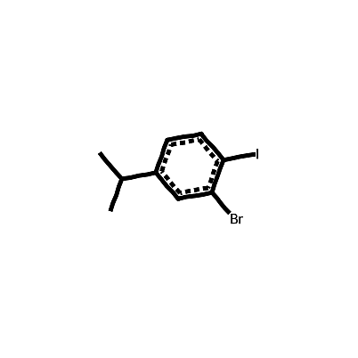 C[C](C)c1ccc(I)c(Br)c1